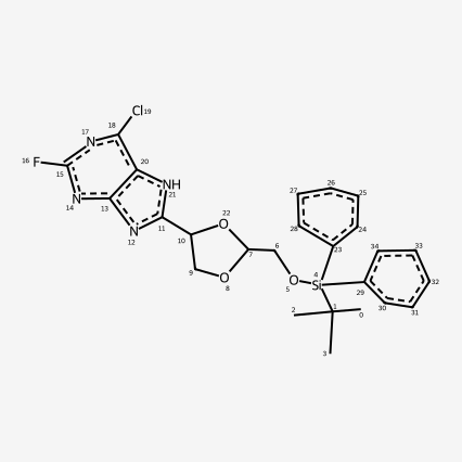 CC(C)(C)[Si](OCC1OCC(c2nc3nc(F)nc(Cl)c3[nH]2)O1)(c1ccccc1)c1ccccc1